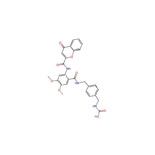 COc1cc(NC(=O)c2cc(=O)c3ccccc3o2)c(C(=O)NCc2ccc(CNC(=O)O)cc2)cc1OC